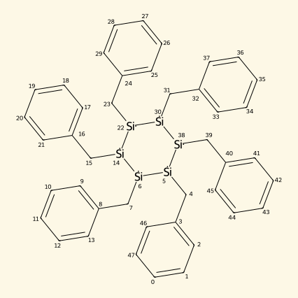 c1ccc(C[Si]2[Si](Cc3ccccc3)[Si](Cc3ccccc3)[Si](Cc3ccccc3)[Si](Cc3ccccc3)[Si]2Cc2ccccc2)cc1